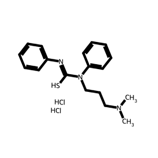 CN(C)CCCN(C(S)=Nc1ccccc1)c1ccccc1.Cl.Cl